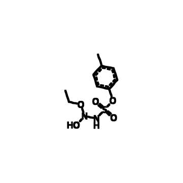 CCON(O)NS(=O)(=O)Oc1ccc(C)cc1